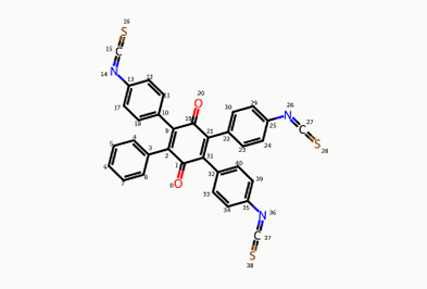 O=C1C(c2ccccc2)=C(c2ccc(N=C=S)cc2)C(=O)C(c2ccc(N=C=S)cc2)=C1c1ccc(N=C=S)cc1